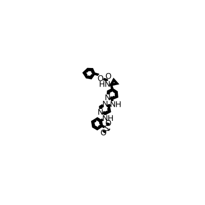 CS(=O)(=O)c1ccccc1Nc1cc(Nc2ccc(C3(NC(=O)OCc4ccccc4)CC3)cn2)ncn1